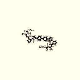 COC(=O)N[C@H](CC(=O)N1CCC[C@H]1c1ncc(-c2ccc(-c3ccc(-c4cnc([C@@H]5CCCN5C(=O)C[C@@H](NC(=O)OC)C(C)C)[nH]4)cc3)cc2)[nH]1)C(C)C